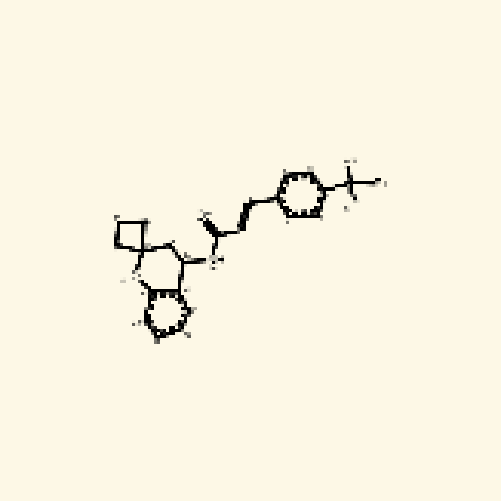 O=C(C=Cc1ccc(C(F)(F)F)cc1)NC1CC2(CCC2)Oc2ccccc21